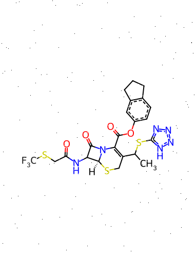 CC(Sc1nnn[nH]1)C1=C(C(=O)Oc2ccc3c(c2)CCC3)N2C(=O)C(NC(=O)CSC(F)(F)F)[C@@H]2SC1